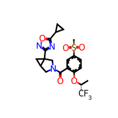 C[C@@H](Oc1ccc(S(C)(=O)=O)cc1C(=O)N1CC2CC2(c2noc(C3CC3)n2)C1)C(F)(F)F